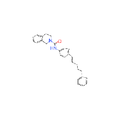 O=C(Nc1ccc(C=CCCCc2ccccc2)cc1)N1CCc2ccccc2C1